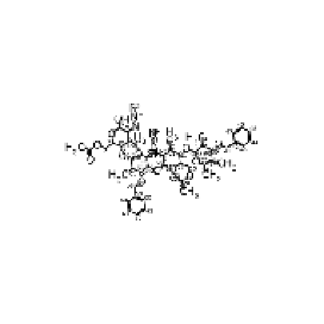 CC(=O)OCC1OC(O)C(N=[N+]=[N-])[C@@H](C)[C@@H]1O[C@@H]1OC(C)[C@H](O[C@@H]2OC(COC(C)=O)[C@@H](O[C@@H]3OC(C)[C@@H](C)[C@@H](OCc4ccccc4)C3C)[C@H](C)C2N=[N+]=[N-])[C@@H](OCc2ccccc2)C1C